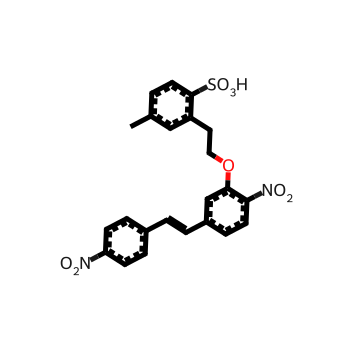 Cc1ccc(S(=O)(=O)O)c(CCOc2cc(C=Cc3ccc([N+](=O)[O-])cc3)ccc2[N+](=O)[O-])c1